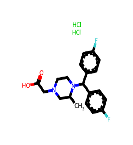 CC1CN(CC(=O)O)CCN1C(c1ccc(F)cc1)c1ccc(F)cc1.Cl.Cl